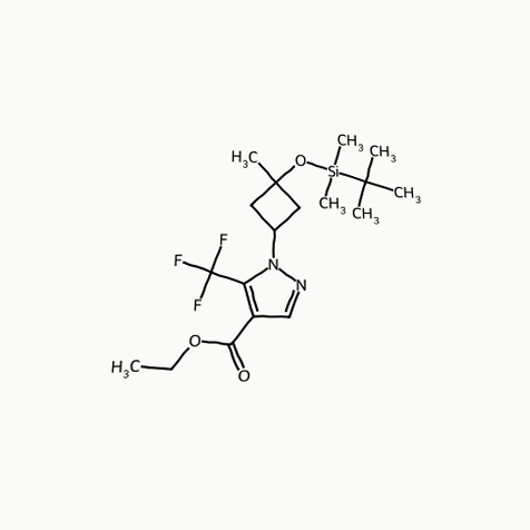 CCOC(=O)c1cnn(C2CC(C)(O[Si](C)(C)C(C)(C)C)C2)c1C(F)(F)F